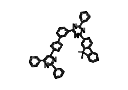 CC1(C)c2ccccc2-c2ccc(-c3nc(-c4ccccc4)nc(-c4cccc(-c5ccc(-c6cc(-c7ccccc7)nc(-c7ccccc7)n6)cc5)c4)n3)cc21